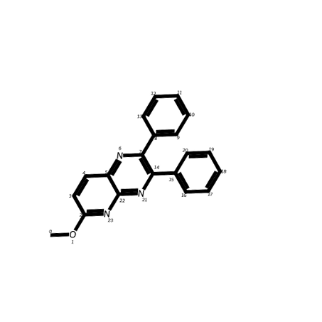 COc1ccc2nc(-c3ccccc3)c(-c3ccccc3)nc2n1